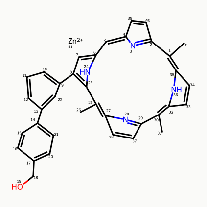 Cc1c2nc(cc3cc(-c4cccc(-c5ccc(CO)cc5)c4)c([nH]3)c(C)c3nc(c(C)c4ccc1[nH]4)C=C3)C=C2.[Zn+2]